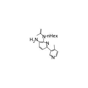 C=C(C)N(CCCCCC)c1nc(-c2cnccc2C)ccc1N